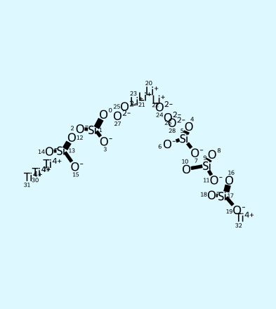 O=[Si]([O-])[O-].O=[Si]([O-])[O-].O=[Si]([O-])[O-].O=[Si]([O-])[O-].O=[Si]([O-])[O-].[Li+].[Li+].[Li+].[Li+].[O-2].[O-2].[O-2].[O-2].[O-2].[Ti+4].[Ti+4].[Ti+4].[Ti+4]